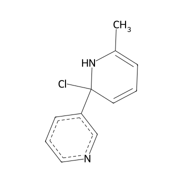 CC1=CC=CC(Cl)(c2cccnc2)N1